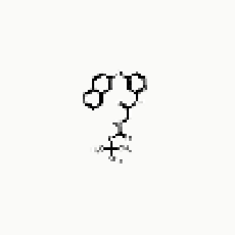 CC(C)(C)OC(=O)NCC(=O)Nc1cc(Oc2ccc3ccccc3c2)ccn1